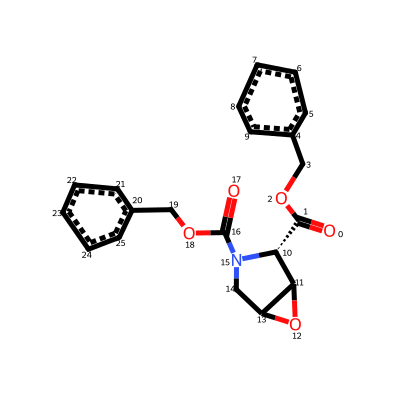 O=C(OCc1ccccc1)[C@@H]1C2OC2CN1C(=O)OCc1ccccc1